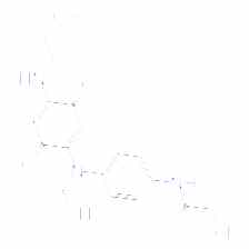 CCN(C1=CC(=O)C(NCCO)=CC1=O)c1ccc(NC(=O)CCl)cc1